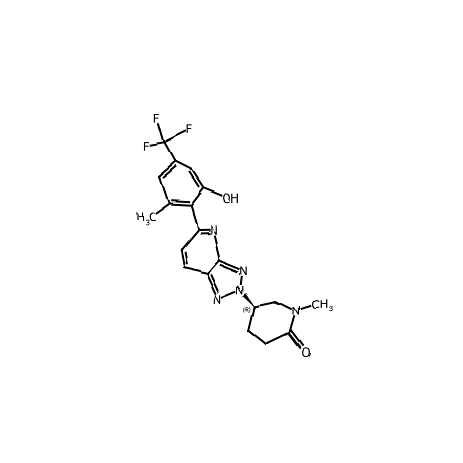 Cc1cc(C(F)(F)F)cc(O)c1-c1ccc2nn([C@@H]3CCC(=O)N(C)C3)nc2n1